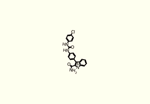 NC(=O)c1[nH]c2ccccc2c1-c1ccc(NC(=O)Nc2ccc(Cl)cc2)cc1